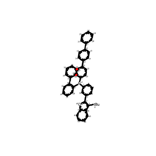 CC(C)(C)c1c(-c2cccc(N(c3ccc(-c4ccc(-c5ccccc5)cc4)cc3)c3ccccc3-c3ccccc3)c2)oc2ccccc12